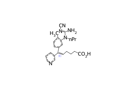 CCCN(C(N)=NC#N)c1cc(/C(=C\CCCC(=O)O)c2cccnc2)ccc1C